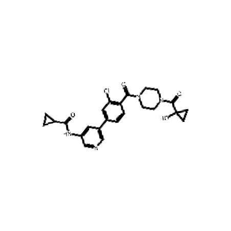 O=C(Nc1cncc(-c2ccc(C(=O)N3CCN(C(=O)C4(O)CC4)CC3)c(Cl)c2)c1)C1CC1